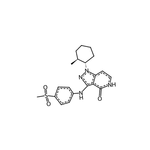 C[C@H]1CCCC[C@@H]1n1nc(Nc2ccc(S(C)(=O)=O)cc2)c2c(=O)[nH]ccc21